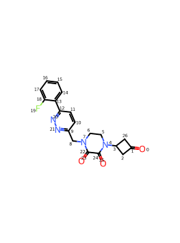 O=C1CC(N2CCN(Cc3ccc(-c4ccccc4F)nn3)C(=O)C2=O)C1